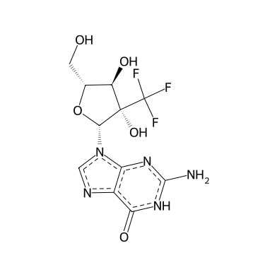 Nc1nc2c(ncn2[C@@H]2O[C@H](CO)[C@@H](O)[C@@]2(O)C(F)(F)F)c(=O)[nH]1